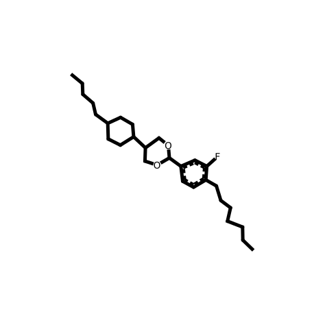 CCCCCCCc1ccc(C2OCC(C3CCC(CCCCC)CC3)CO2)cc1F